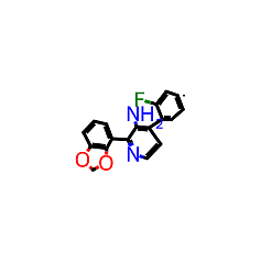 Nc1c(-c2cc[c]cc2F)ccnc1-c1cccc2c1OCO2